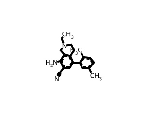 CCN1CCc2c(-c3cc(C)ccc3C)cc(C#N)c(N)c2C1